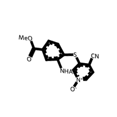 COC(=O)c1ccc(Sc2c[n+]([O-])ccc2C#N)c(NC(C)=O)c1